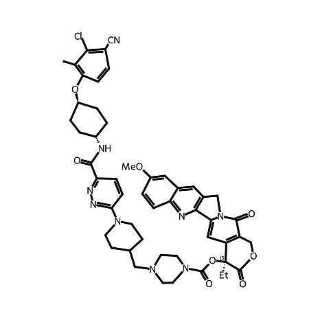 CC[C@@]1(OC(=O)N2CCN(CC3CCN(c4ccc(C(=O)N[C@H]5CC[C@H](Oc6ccc(C#N)c(Cl)c6C)CC5)nn4)CC3)CC2)C(=O)OCc2c1cc1n(c2=O)Cc2cc3cc(OC)ccc3nc2-1